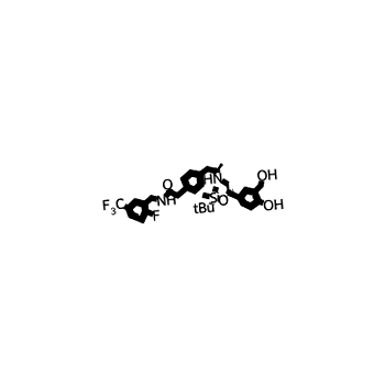 C[C@H](Cc1ccc(CC(=O)NCc2cc(C(F)(F)F)ccc2F)cc1)NC[C@H](O[Si](C)(C)C(C)(C)C)c1ccc(O)c(CO)c1